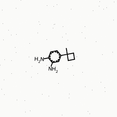 CC1(c2ccc(N)c(N)c2)CCC1